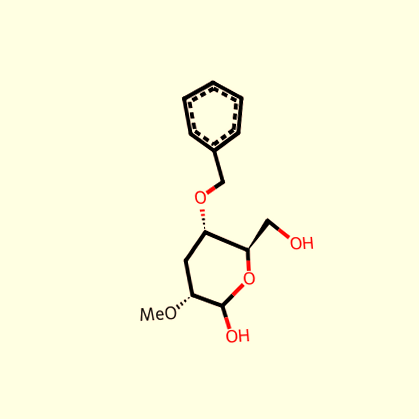 CO[C@@H]1C[C@H](OCc2ccccc2)[C@@H](CO)OC1O